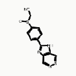 N#CC[S+]([O-])c1ccc(-c2nc3cnncc3[nH]2)cc1